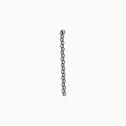 C=C(C)C(=O)OCCOCCOCCOCCOCCOCCOCCOCCOCCOCCOCCOCCOCCOCCOCCOCCOCCOCCOCCOC